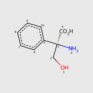 N[C@](CO)(C(=O)O)c1ccccc1